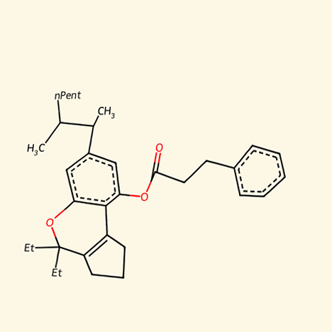 CCCCCC(C)C(C)c1cc(OC(=O)CCc2ccccc2)c2c(c1)OC(CC)(CC)C1=C2CCC1